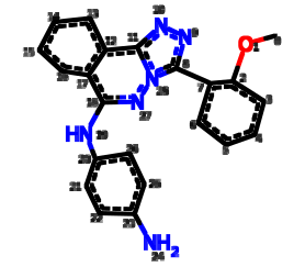 COc1ccccc1-c1nnc2c3ccccc3c(Nc3ccc(N)cc3)nn12